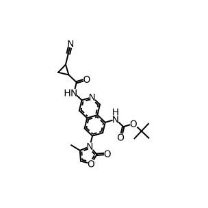 Cc1coc(=O)n1-c1cc(NC(=O)OC(C)(C)C)c2cnc(NC(=O)C3CC3C#N)cc2c1